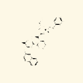 NC(=O)[C@H](Cc1ccc2ccccc2c1)NC(=O)[C@@H]1CCCCN1C(=O)[C@H](CSCO)NS(=O)(=O)CCc1ccccc1